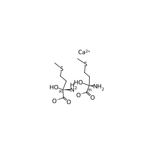 CSCC[C@@](N)(O)C(=O)[O-].CSCC[C@@](N)(O)C(=O)[O-].[Ca+2]